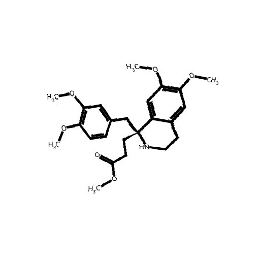 COC(=O)CC[C@]1(Cc2ccc(OC)c(OC)c2)NCCc2cc(OC)c(OC)cc21